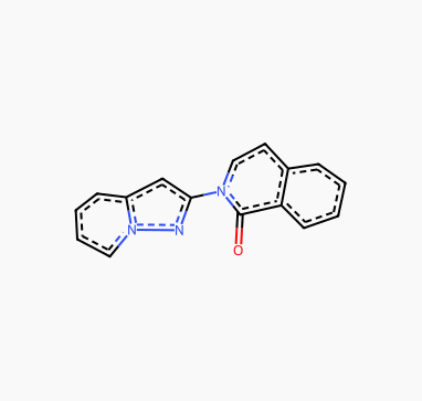 O=c1c2ccccc2ccn1-c1cc2ccccn2n1